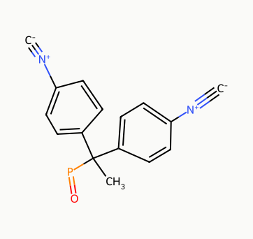 [C-]#[N+]c1ccc(C(C)(P=O)c2ccc([N+]#[C-])cc2)cc1